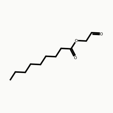 CCCCCCCCC(=O)OCC=O